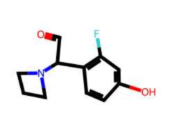 O=CC(c1ccc(O)cc1F)N1CCC1